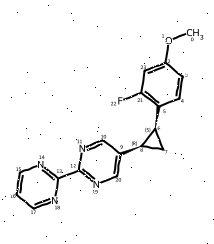 COc1ccc([C@H]2C[C@H]2c2cnc(-c3ncccn3)nc2)c(F)c1